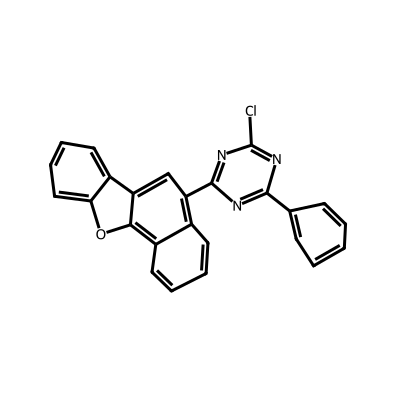 Clc1nc(-c2ccccc2)nc(-c2cc3c4ccccc4oc3c3ccccc23)n1